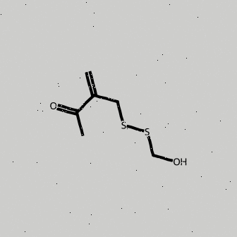 C=C(CSSCO)C(C)=O